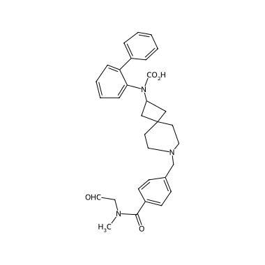 CN(CC=O)C(=O)c1ccc(CN2CCC3(CC2)CC(N(C(=O)O)c2ccccc2-c2ccccc2)C3)cc1